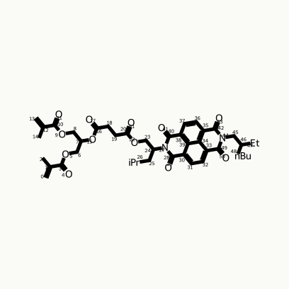 C=C(C)C(=O)OCC(COC(=O)C(=C)C)OC(=O)CCC(=O)OCC(CC(C)C)N1C(=O)c2ccc3c4c(ccc(c24)C1=O)C(=O)N(CC(CC)CCCC)C3=O